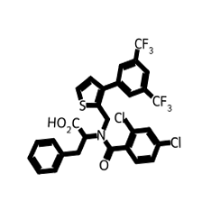 O=C(O)C(Cc1ccccc1)N(Cc1sccc1-c1cc(C(F)(F)F)cc(C(F)(F)F)c1)C(=O)c1ccc(Cl)cc1Cl